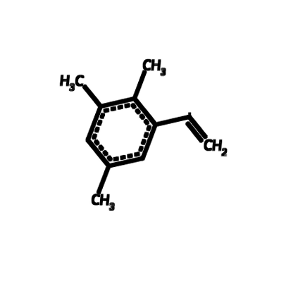 C=[C]c1cc(C)cc(C)c1C